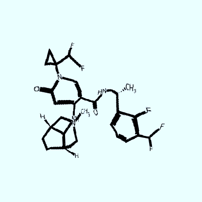 C[C@@H](NC(=O)c1cn(C2(C(F)F)CC2)c(=O)cc1NC1[C@@H]2CC[C@H]1CN(C)C2)c1cccc(C(F)F)c1F